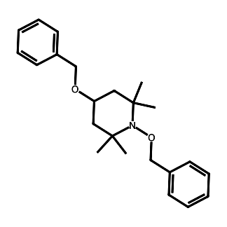 CC1(C)CC(OCc2ccccc2)CC(C)(C)N1OCc1ccccc1